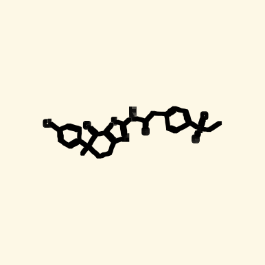 CCS(=O)(=O)c1ccc(CC(=O)Nc2nc3c(s2)C(=O)C(C)(c2ccc(Cl)cc2)CC3)cc1